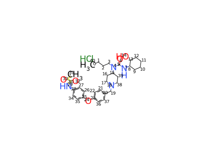 CCCCN(C(=O)N[C@@H]1CCCC[C@H]1O)C1CCN(Cc2ccc(Oc3ccc(NS(C)(=O)=O)cc3)cc2)CC1.Cl